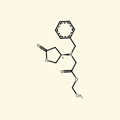 CCOC(=O)CN(Cc1ccccc1)[C@H]1COC(=O)C1